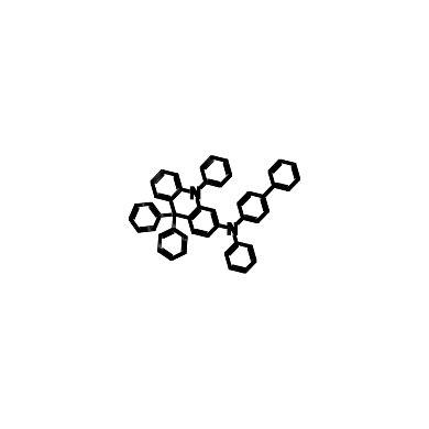 c1ccc(-c2ccc(N(c3ccccc3)c3ccc4c(c3)N(c3ccccc3)c3ccccc3C4(c3ccccc3)c3ccccc3)cc2)cc1